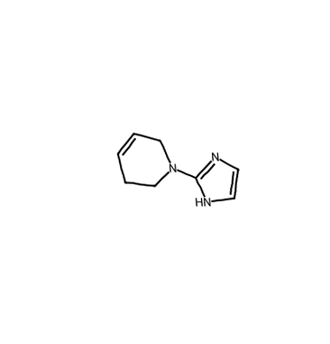 C1=CCN(c2ncc[nH]2)CC1